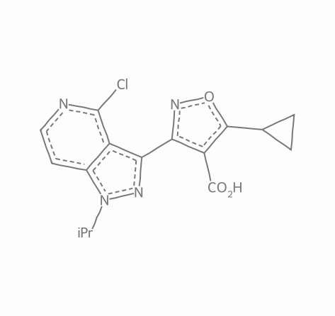 CC(C)n1nc(-c2noc(C3CC3)c2C(=O)O)c2c(Cl)nccc21